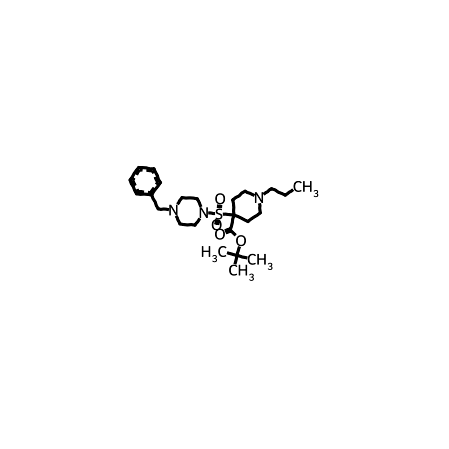 CCCN1CCC(C(=O)OC(C)(C)C)(S(=O)(=O)N2CCN(Cc3ccccc3)CC2)CC1